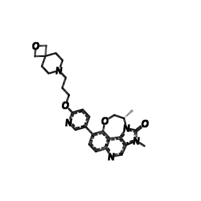 C[C@H]1COc2c(-c3ccc(OCCCN4CCC5(CC4)COC5)nc3)ccc3ncc4c(c23)n1c(=O)n4C